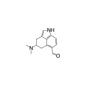 CN(C)C1Cc2c[nH]c3ccc(C=O)c(c23)C1